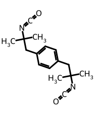 CC(C)(Cc1ccc(CC(C)(C)N=C=O)cc1)N=C=O